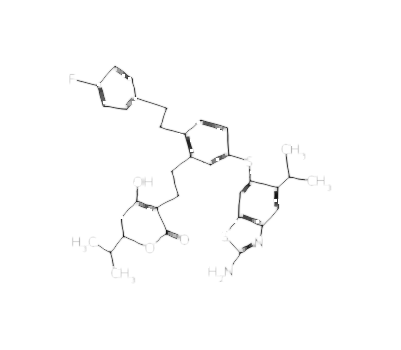 CC(C)c1cc2nc(N)sc2cc1Sc1ccc(CCc2ccc(F)cc2)c(CCC2=C(O)CC(C(C)C)OC2=O)c1